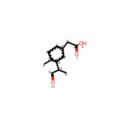 Cc1ccc(CC(=O)O)cc1C(C)C=O